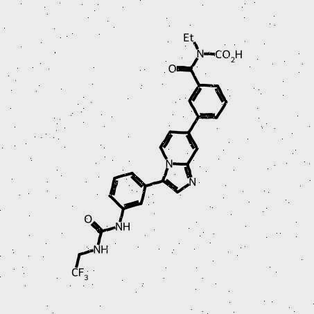 CCN(C(=O)O)C(=O)c1cccc(-c2ccn3c(-c4cccc(NC(=O)NCC(F)(F)F)c4)cnc3c2)c1